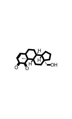 C[C@]12C(=O)C(=O)C=CC1CC[C@H]1[C@@H]3CCC[C@@]3(CO)CC[C@@H]12